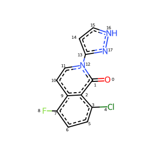 O=c1c2c(Cl)ccc(F)c2ccn1-c1cc[nH]n1